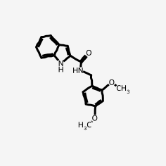 COc1ccc(CNC(=O)c2cc3ccccc3[nH]2)c(OC)c1